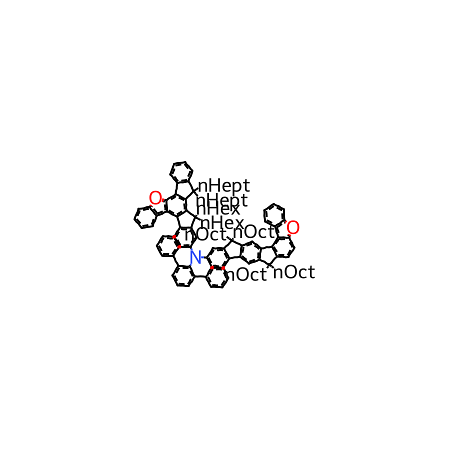 CCCCCCCCC1(CCCCCCCC)c2cc(N(c3ccc4c(c3)C(CCCCCC)(CCCCCC)c3c5c(c6oc7ccccc7c6c3-4)-c3ccccc3C5(CCCCCCC)CCCCCCC)c3c(-c4ccccc4)cccc3-c3ccccc3)ccc2-c2cc3c(cc21)-c1c(ccc2oc4ccccc4c12)C3(CCCCCCCC)CCCCCCCC